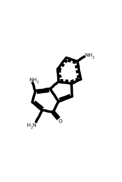 NC1=CC(N)=C2C(=Cc3cc(N)ccc32)C1=O